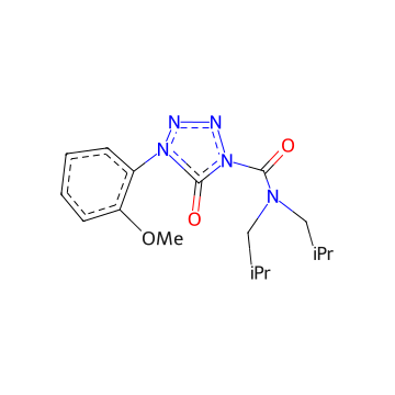 COc1ccccc1-n1nnn(C(=O)N(CC(C)C)CC(C)C)c1=O